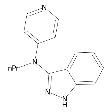 CCCN(c1ccncc1)c1n[nH]c2ccccc12